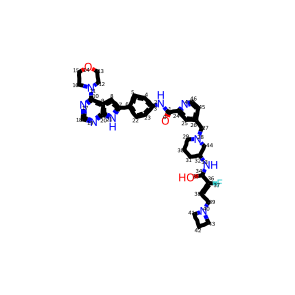 O=C(Nc1ccc(-c2cc3c(N4CCOCC4)ncnc3[nH]2)cc1)c1cc(CN2CCCC(NC(O)/C(F)=C/CN3CCC3)C2)ccn1